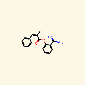 CC(=Cc1ccccc1)C(=O)Oc1ccccc1C(=N)N